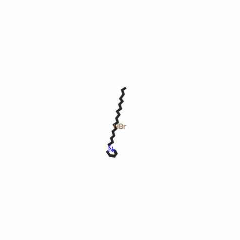 Br.CCCCCCCCCCCCCCCCCCN1C=CC=CC1